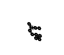 c1ccc(-c2ccc(-c3nc(-c4ccccc4)nc(-c4cccc(-c5cccc(-c6ccc7c(c6)C(c6ccccc6)(c6ccccc6)c6ccccc6-7)c5)c4)n3)cc2)cc1